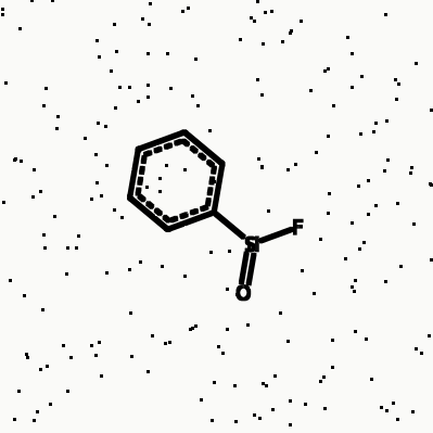 O=[Si](F)c1ccccc1